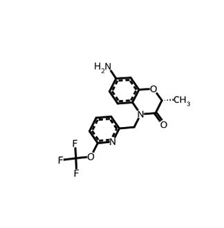 C[C@H]1Oc2cc(N)ccc2N(Cc2cccc(OC(F)(F)F)n2)C1=O